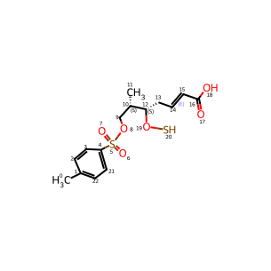 Cc1ccc(S(=O)(=O)OC[C@H](C)[C@H](C/C=C/C(=O)O)OS)cc1